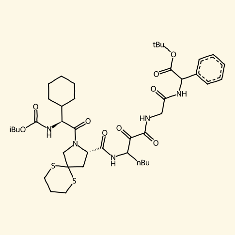 CCCCC(NC(=O)[C@@H]1CC2(CN1C(=O)[C@@H](NC(=O)OCC(C)C)C1CCCCC1)SCCCS2)C(=O)C(=O)NCC(=O)NC(C(=O)OC(C)(C)C)c1ccccc1